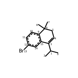 CC(C)C1=CCC(C)(C)c2ccc(Br)cc21